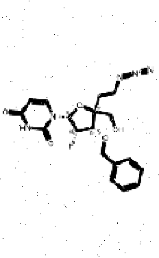 [N-]=[N+]=NCC[C@]1(CO)O[C@@H](n2ccc(=O)[nH]c2=O)[C@@H](F)[C@H]1OCc1ccccc1